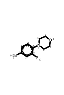 Bc1ccc(N2CCOCC2)c(F)c1